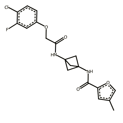 Cc1coc(C(=O)NC23CC(NC(=O)COc4ccc(Cl)c(F)c4)(C2)C3)c1